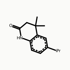 CC(C)c1ccc2c(c1)C(C)(C)CC(=O)N2